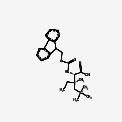 CC[C@](C)(C[N+](C)(C)C)[C@H](NC(=O)OCC1c2ccccc2-c2ccccc21)C(=O)O